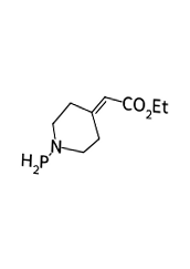 CCOC(=O)C=C1CCN(P)CC1